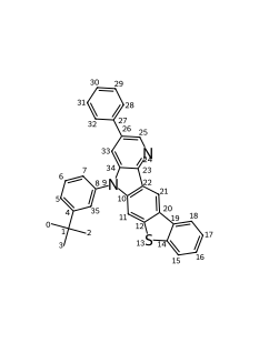 CC(C)(C)c1cccc(-n2c3cc4sc5ccccc5c4cc3c3ncc(-c4ccccc4)cc32)c1